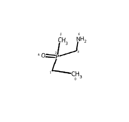 CCP(C)(=O)CN